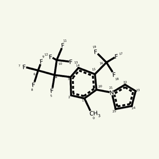 Cc1cc(C(F)(C(F)(F)F)C(F)(F)F)cc(C(F)(F)F)c1-n1cccc1